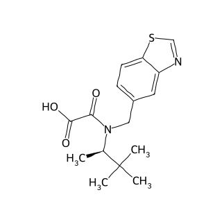 C[C@@H](N(Cc1ccc2scnc2c1)C(=O)C(=O)O)C(C)(C)C